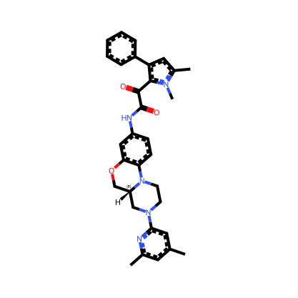 Cc1cc(C)nc(N2CCN3c4ccc(NC(=O)C(=O)c5c(-c6ccccc6)cc(C)n5C)cc4OC[C@H]3C2)c1